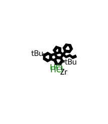 C=CCCC(C1=CC=CC1)(c1ccccc1)c1c(C(C)(C)C)ccc2c1Cc1cc(C(C)(C)C)ccc1-2.Cl.Cl.[Zr]